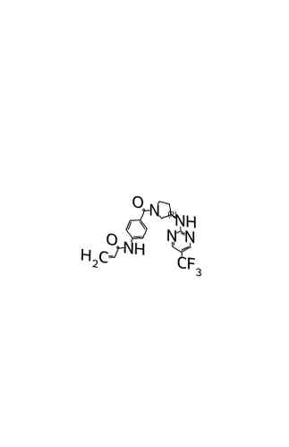 C=CC(=O)Nc1ccc(C(=O)N2CC[C@@H](Nc3ncc(C(F)(F)F)cn3)C2)cc1